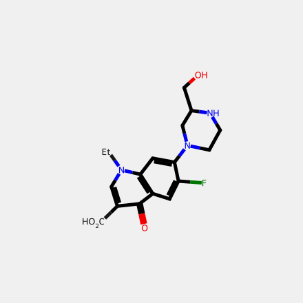 CCn1cc(C(=O)O)c(=O)c2cc(F)c(N3CCNC(CO)C3)cc21